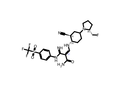 N#C[C@H]1CC(N2CCC[C@@H]2CF)CC[C@@H]1N/C=C(\C(=N)Nc1ccc(S(=O)(=O)C(F)(F)F)cc1)C(N)=O